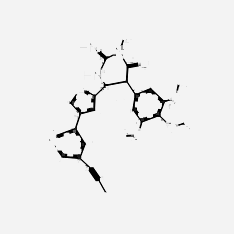 CC#Cc1cncc(-c2csc([C@@]3(C)NC(=N)N(C)C(=O)C3c3cc(OC)c(OC)c(OC)c3)c2)c1